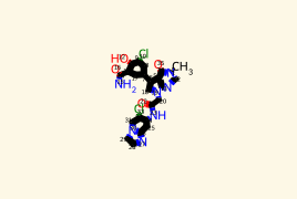 Cn1cnc2c(c(-c3cc(Cl)c(O)c(C(N)=O)c3)cn2CC(=O)Nc2cc3nccn3cc2Cl)c1=O